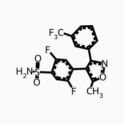 Cc1onc(-c2cccc(C(F)(F)F)c2)c1-c1cc(F)c(S(N)(=O)=O)cc1F